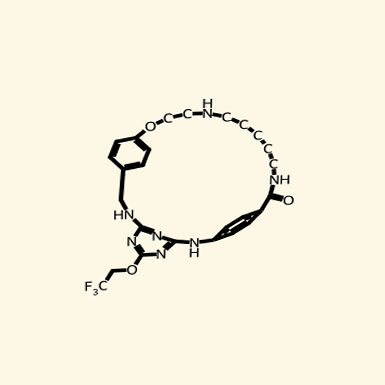 O=C1NCCCCCNCCOc2ccc(cc2)CNc2nc(nc(OCC(F)(F)F)n2)Nc2ccc1cc2